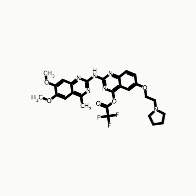 COc1cc2nc(Nc3nc(OC(=O)C(F)(F)F)c4cc(OCCN5CCCC5)ccc4n3)nc(C)c2cc1OC